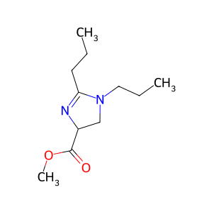 CCCC1=NC(C(=O)OC)CN1CCC